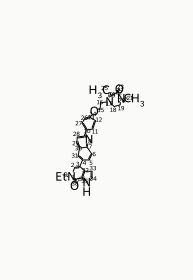 CCn1cc(-c2ccc3nc(-c4ccc(OCCN5CCN(C)C(=O)[C@H]5C)cc4)ccc3c2)c2cc[nH]c2c1=O